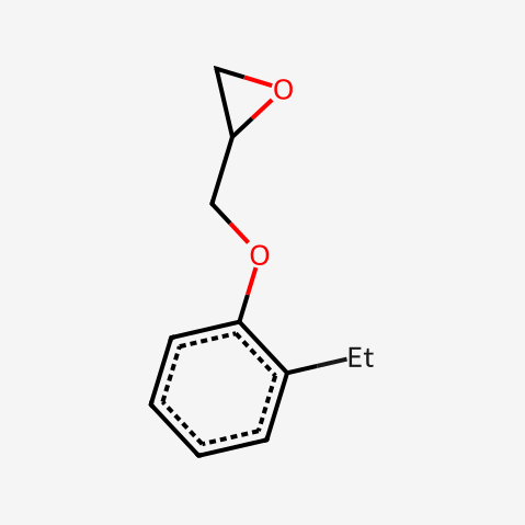 CCc1ccccc1OCC1CO1